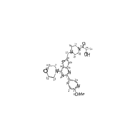 COc1ccc(-c2nc(N3CCOCC3)c3sc(CN4CCN(C(=O)C(C)O)CC4)cc3n2)cn1